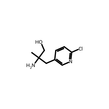 CC(N)(CO)Cc1ccc(Cl)nc1